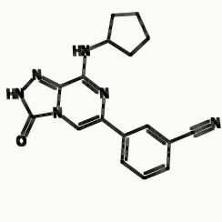 N#Cc1cccc(-c2cn3c(=O)[nH]nc3c(NC3CCCC3)n2)c1